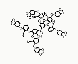 N#Cc1c(Oc2ccc3c(c2)OCO3)cccc1Oc1cc(C(=O)c2ccc(Oc3cccc(Oc4ccc5c(c4)OCO5)c3C#N)c(Oc3cccc(Oc4ccc5c(c4)OCO5)c3C#N)c2O)cc(Oc2cccc(Oc3ccc4c(c3)OCO4)c2C#N)c1Oc1cccc(Oc2ccc3c(c2)OCO3)c1C#N